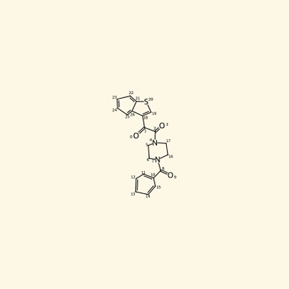 O=C(C(=O)N1CCN(C(=O)c2ccccc2)CC1)c1csc2ccccc12